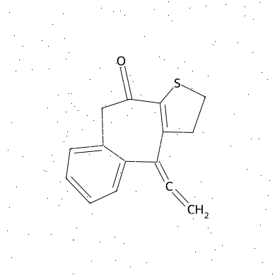 C=C=C1C2=C(SCC2)C(=O)Cc2ccccc21